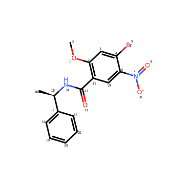 COc1cc(Br)c([N+](=O)[O-])cc1C(=O)N[C@H](C)c1ccccc1